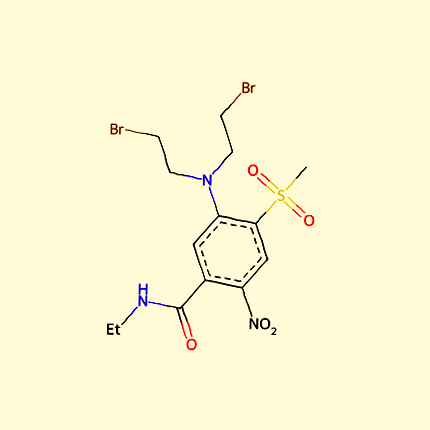 CCNC(=O)c1cc(N(CCBr)CCBr)c(S(C)(=O)=O)cc1[N+](=O)[O-]